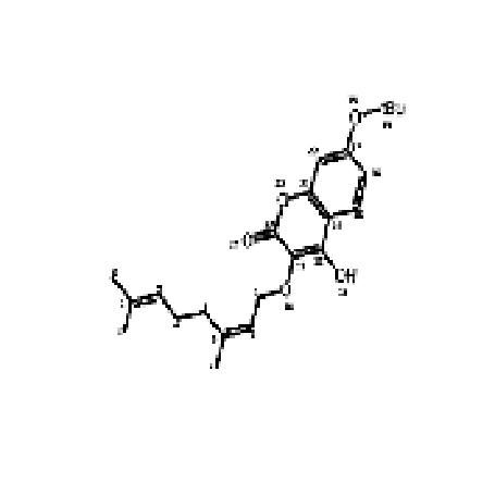 CC(C)=CCCC(C)=CCOc1c(O)c2ccc(OC(C)(C)C)cc2oc1=O